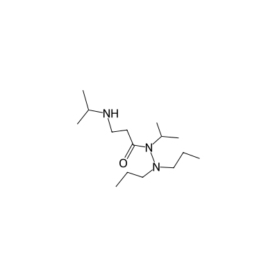 CCCN(CCC)N(C(=O)CCNC(C)C)C(C)C